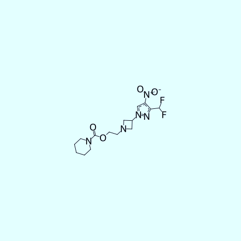 O=C(OCCN1CC(n2cc([N+](=O)[O-])c(C(F)F)n2)C1)N1CCCCC1